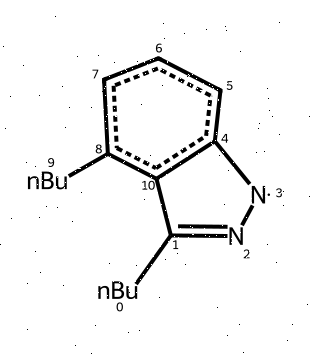 CCCCC1=N[N]c2cccc(CCCC)c21